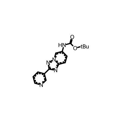 CC(C)(C)OC(=O)Nc1ccc2nc(-c3cccnc3)nn2c1